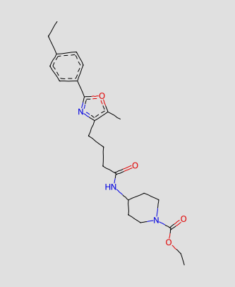 CCOC(=O)N1CCC(NC(=O)CCCc2nc(-c3ccc(CC)cc3)oc2C)CC1